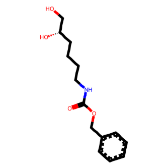 O=C(NCCCC[C@H](O)CO)OCc1ccccc1